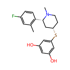 Cc1cc(F)ccc1[C@H]1C[C@@H](Sc2cc(O)cc(O)c2)CCN1C